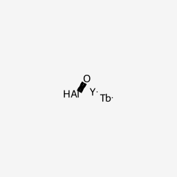 [O]=[AlH].[Tb].[Y]